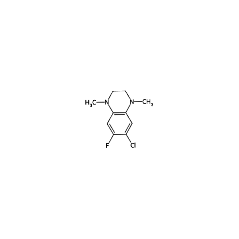 CN1CCN(C)c2cc(Cl)c(F)cc21